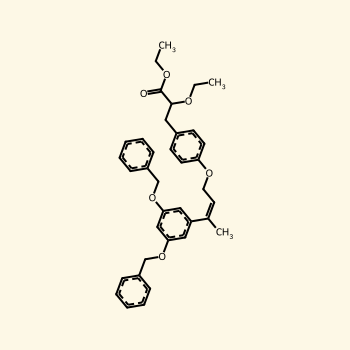 CCOC(=O)C(Cc1ccc(OC/C=C(/C)c2cc(OCc3ccccc3)cc(OCc3ccccc3)c2)cc1)OCC